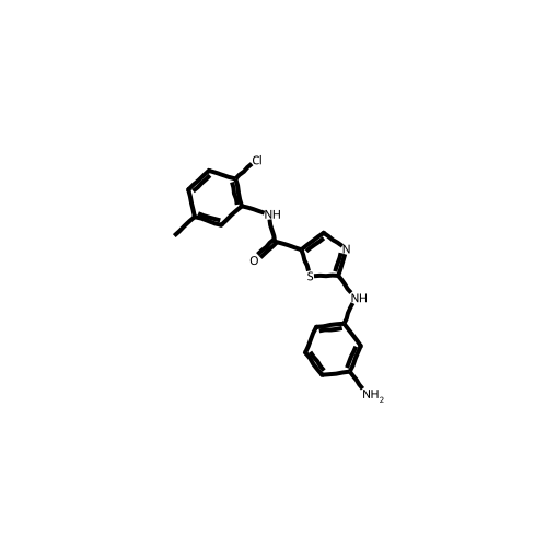 Cc1ccc(Cl)c(NC(=O)c2cnc(Nc3cccc(N)c3)s2)c1